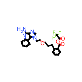 Nc1nc2ccccc2c2c1ncn2CCOCCCc1ccccc1C(=O)OC(=O)C(F)(F)F